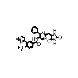 Cn1ccc(-c2cc(C(=O)Nc3cnc(CC4NC(=O)NC4=O)nc3-c3ccccc3)ccc2C(F)(F)F)n1